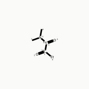 CC[13C](=O)[13C](=O)N(C)C